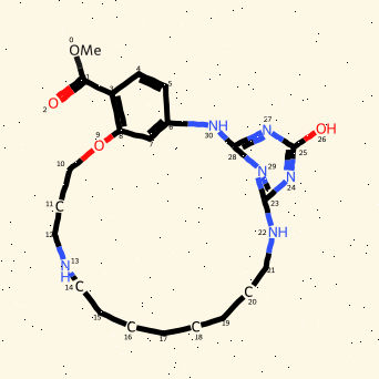 COC(=O)c1ccc2cc1OCCCNCCCCCCCCNc1nc(O)nc(n1)N2